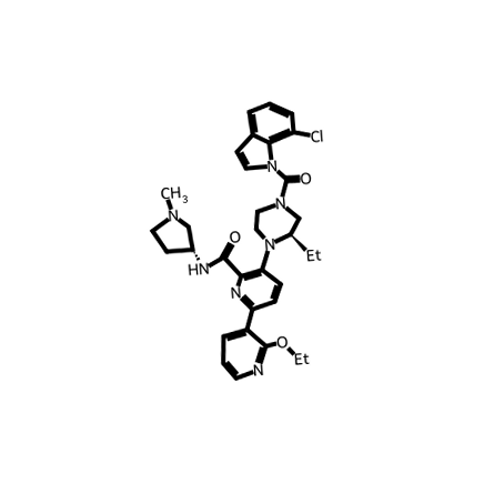 CCOc1ncccc1-c1ccc(N2CCN(C(=O)n3ccc4cccc(Cl)c43)C[C@H]2CC)c(C(=O)N[C@@H]2CCN(C)C2)n1